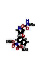 CC(C)(C)NC(=O)Oc1cc(Oc2ccc(N(C(=O)OC(C)(C)C)C(=O)OC(C)(C)C)c3ccccc23)ccn1